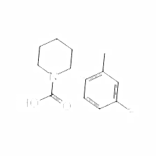 Cc1cc(F)ccc1[C@H]1CCCCN1C(=O)O